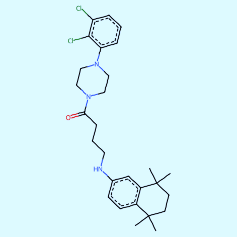 CC1(C)CCC(C)(C)c2cc(NCCCC(=O)N3CCN(c4cccc(Cl)c4Cl)CC3)ccc21